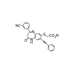 N#Cc1cccc(C2=Nc3cc(SCC(=O)O)c(C#Cc4ccccc4)cc3NC(=O)C2)c1